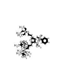 CC[Si](CC)(CC)OCC[C@@H]1O[C@H](CC(CO[Si](C)(C)C(C)(C)C)O[Si](C)(C)C(C)(C)C)[C@H](OC)[C@H]1CS(=O)(=O)c1ccccc1